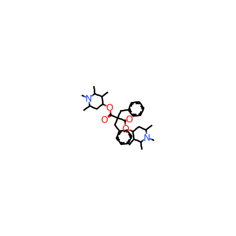 CC1C(OC(=O)C(Cc2ccccc2)(Cc2ccccc2)C(=O)OC2CC(C)N(C)C(C)C2C)CC(C)N(C)C1C